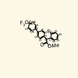 COC(=O)C(c1ccc(-c2cnc(C(F)(F)F)cn2)cc1)c1ccccc1F